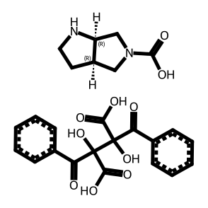 O=C(O)C(O)(C(=O)c1ccccc1)C(O)(C(=O)O)C(=O)c1ccccc1.O=C(O)N1C[C@H]2CCN[C@H]2C1